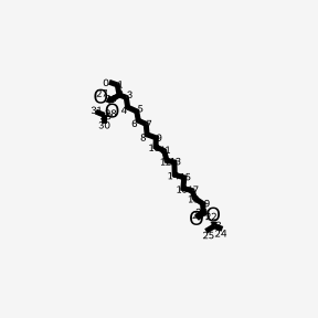 CCC(CCCCCCCCCCCCCCCCCC(=O)OC(C)C)C(=O)OC(C)C